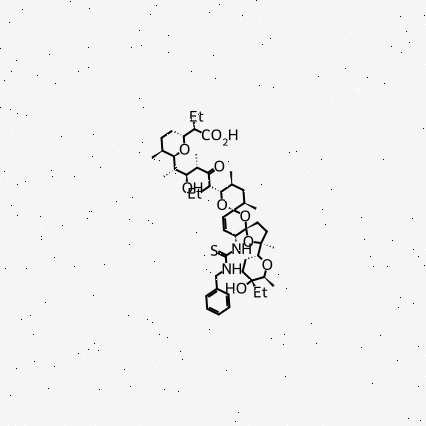 CCC(C(=O)[C@@H](C)[C@@H](O)[C@H](C)[C@@H]1O[C@@H]([C@@H](CC)C(=O)O)CC[C@@H]1C)[C@H]1O[C@]2(C=C[C@@H](NC(=S)NCc3ccccc3)[C@]3(CC[C@@](C)([C@H]4CC[C@](O)(CC)[C@H](C)O4)O3)O2)[C@H](C)C[C@@H]1C